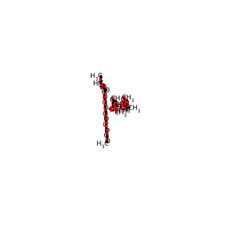 CCCCNc1ccc(C(=O)OCCOCCOCCOCCOCCOCCOCCOCCOCCOC)cc1.COc1ccc2c(c1)[C@]13CCCC[C@@H]1[C@H](C2)N(C)CC3.COc1ccc2c3c1O[C@H]1[C@@H](O)C=C[C@H]4[C@@H](C2)N(C)CC[C@@]341